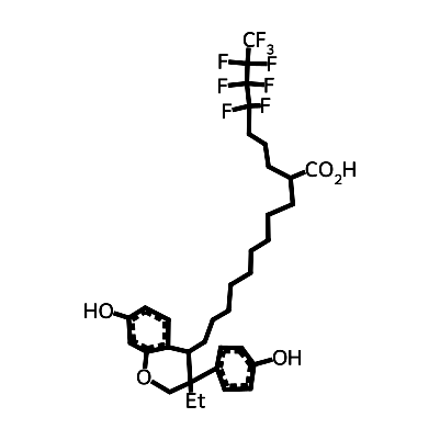 CCC1(c2ccc(O)cc2)COc2cc(O)ccc2C1CCCCCCCCCC(CCCC(F)(F)C(F)(F)C(F)(F)C(F)(F)F)C(=O)O